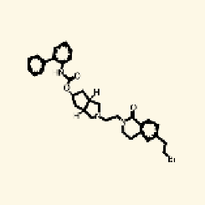 O=C(Nc1ccccc1-c1ccccc1)O[C@H]1C[C@@H]2CN(CCN3CCc4cc(CCBr)ccc4C3=O)C[C@@H]2C1